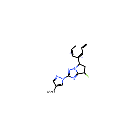 C=C/C=C(\C=C/C)C1CC(F)c2nc(-n3cc(OC)cn3)nn21